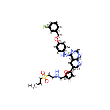 CCCS(=O)(=O)CCNCc1ccc(-c2cnc3ncnc(Nc4ccc(OCc5cccc(F)c5)cc4)c3c2)o1